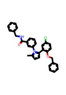 Cc1ccc(-c2cc(Cl)ccc2OCc2ccccc2)n1-c1cccc(C(=O)NCc2ccccc2)c1